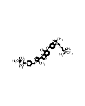 Cc1c(-c2cnc3ccc(Oc4ccc5c(c4)nc(C)n5COCC[Si](C)(C)C)c(Cl)c3n2)cnn1CC1CCN(C(=O)OC(C)(C)C)CC1